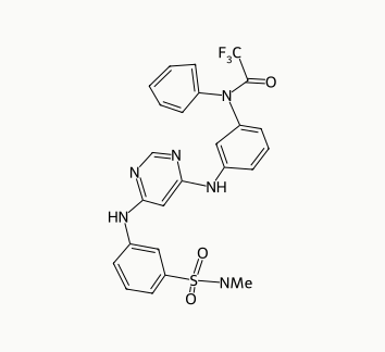 CNS(=O)(=O)c1cccc(Nc2cc(Nc3cccc(N(C(=O)C(F)(F)F)c4ccccc4)c3)ncn2)c1